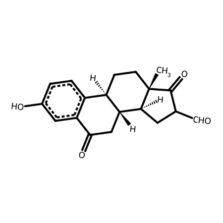 C[C@]12CC[C@@H]3c4ccc(O)cc4C(=O)C[C@H]3[C@@H]1CC(C=O)C2=O